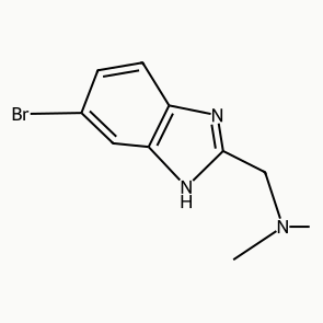 CN(C)Cc1nc2ccc(Br)cc2[nH]1